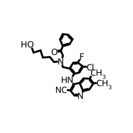 Cc1cc2ncc(C#N)c(Nc3cc(Cl)c(F)cc3CN(CCCCCO)CC(=O)c3ccccc3)c2cc1C